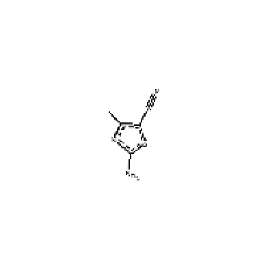 Cc1nc(N)sc1C#N